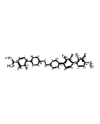 CCCC(O)c1ccc(C2CCC(CCC3CCC(c4ccc(-c5ccc(OCC)c(F)c5F)c(F)c4F)CC3)CC2)c(F)c1F